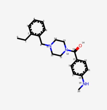 CCc1ccccc1CN1CCN(C(=O)c2ccc(NC)cc2)CC1